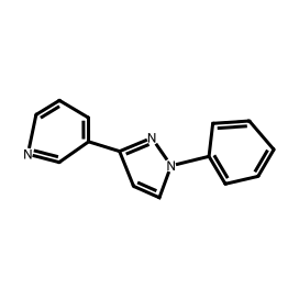 c1ccc(-n2ccc(-c3cccnc3)n2)cc1